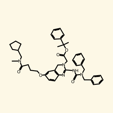 CN(CC1CCCC1)C(=O)CCCOc1ccc2c(c1)CN(CC(=O)OC(C)(C)c1ccccc1)C(NC(=O)N(Cc1ccccc1)Cc1ccccc1)=N2